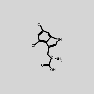 N[C@@H](Cc1c[nH]c2cc(Cl)cc(Cl)c12)C(=O)O